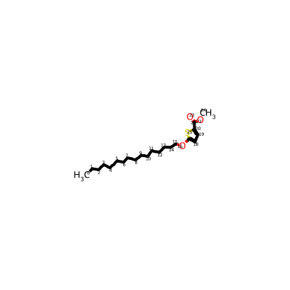 CCCCCCCCCCCCCCCCOc1ccc(C(=O)OC)s1